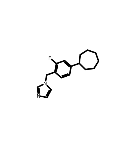 Fc1cc(C2CCCCCC2)ccc1Cn1ccnc1